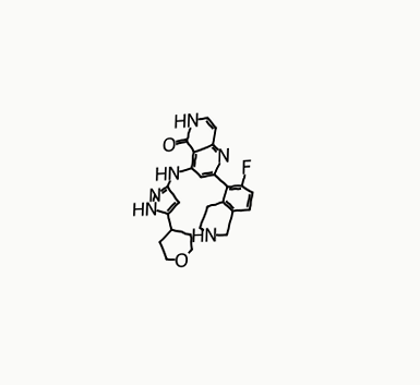 O=c1[nH]ccc2nc(-c3c(F)ccc4c3CCNC4)cc(Nc3cc(C4CCOCC4)[nH]n3)c12